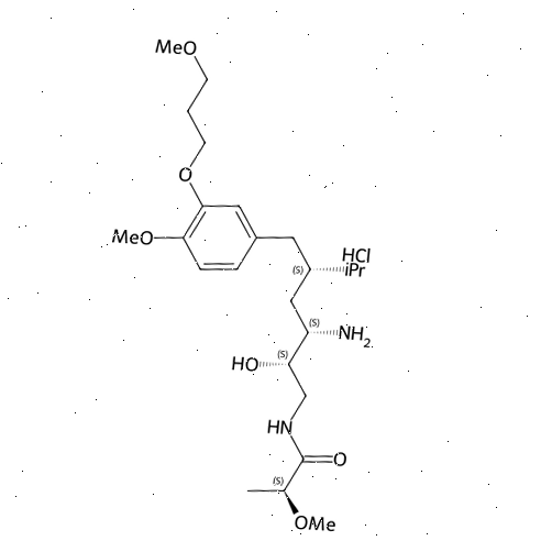 COCCCOc1cc(C[C@@H](C[C@H](N)[C@@H](O)CNC(=O)[C@H](C)OC)C(C)C)ccc1OC.Cl